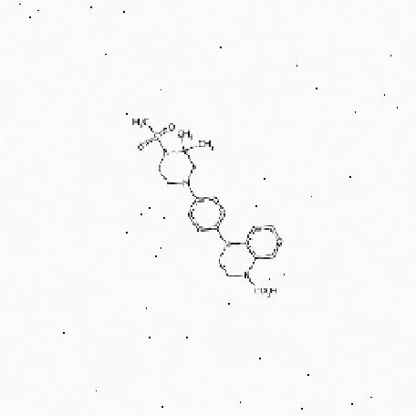 CC1(C)CN(c2ccc(N3CCN(C(=O)O)c4ccccc43)cc2)CCN1S(C)(=O)=O